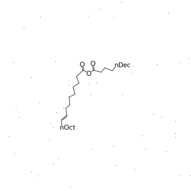 CCCCCCCCC=CCCCCCCCC(=O)OC(=O)CCCCCCCCCCCCC